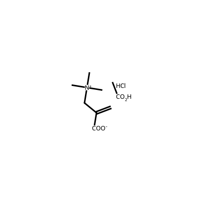 C=C(C[N+](C)(C)C)C(=O)[O-].CC(=O)O.Cl